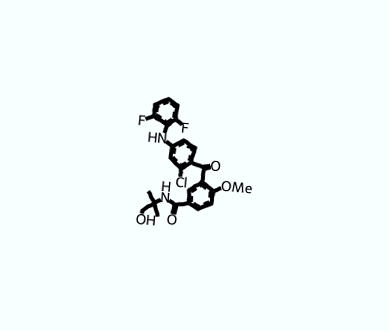 COc1ccc(C(=O)NC(C)(C)CO)cc1C(=O)c1ccc(Nc2c(F)cccc2F)cc1Cl